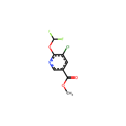 COC(=O)c1cnc(OC(F)F)c(Cl)c1